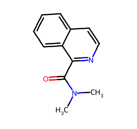 CN(C)C(=O)c1nccc2ccccc12